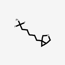 CC(C)C(F)(F)CCCCCC12COCC1C2